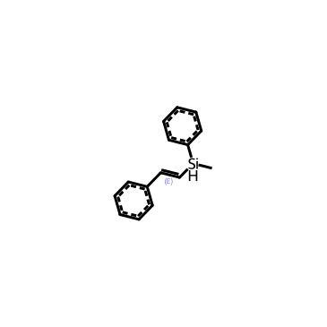 C[SiH](/C=C/c1ccccc1)c1ccccc1